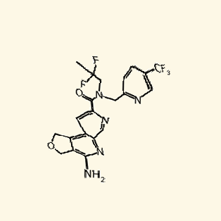 CC(F)(F)CN(Cc1ccc(C(F)(F)F)cn1)C(=O)c1cc2c3c(c(N)nc2cn1)COC3